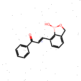 O=C(/C=C/c1cccc2c1B(O)OC2)c1ccccc1